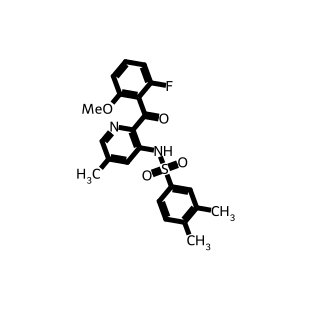 COc1cccc(F)c1C(=O)c1ncc(C)cc1NS(=O)(=O)c1ccc(C)c(C)c1